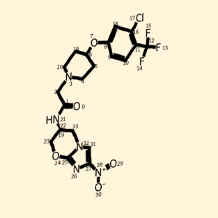 O=C(CN1CCC(Oc2ccc(C(F)(F)F)c(Cl)c2)CC1)N[C@@H]1COc2nc([N+](=O)[O-])cn2C1